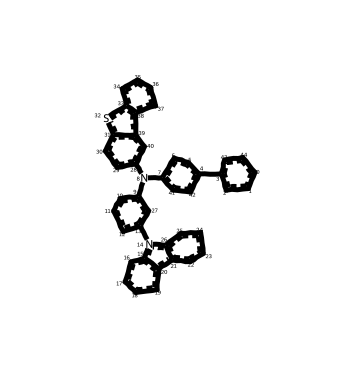 c1ccc(-c2ccc(N(c3cccc(-n4c5ccccc5c5ccccc54)c3)c3ccc4sc5ccccc5c4c3)cc2)cc1